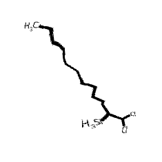 CCCCCCCCCCC([SiH3])C(Cl)Cl